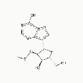 COO[C@@H]1[C@H](O)[C@@H](CO)O[C@H]1n1cnc2c(O)ncnc21